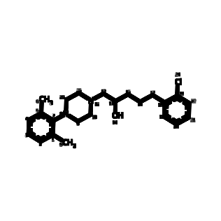 Cc1cccc(C)c1N1[CH]CN(CC(O)CCCc2ccccc2Cl)CC1